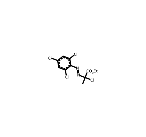 CCOC(=O)C(C)(Cl)/N=N/c1c(Cl)cc(Cl)cc1Cl